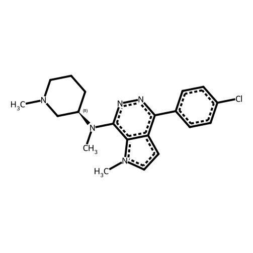 CN1CCC[C@@H](N(C)c2nnc(-c3ccc(Cl)cc3)c3ccn(C)c23)C1